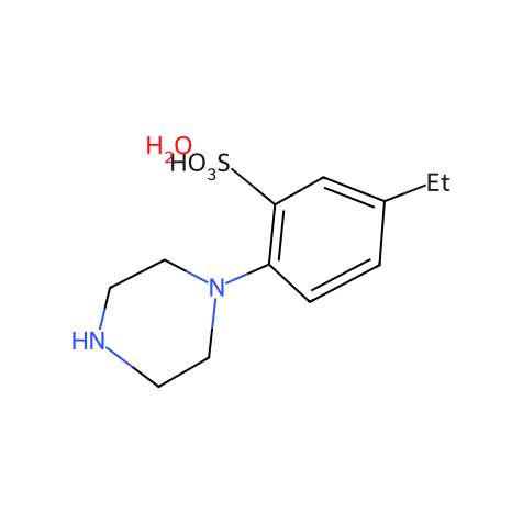 CCc1ccc(N2CCNCC2)c(S(=O)(=O)O)c1.O